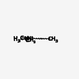 CCCCCCCCCCCCCCCCCC[n+]1ccn(CCC)c1C